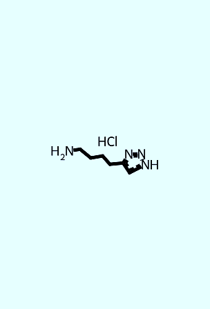 Cl.NCCCCc1c[nH]nn1